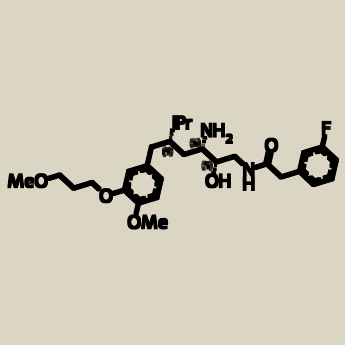 COCCCOc1cc(C[C@@H](C[C@H](N)[C@@H](O)CNC(=O)Cc2cccc(F)c2)C(C)C)ccc1OC